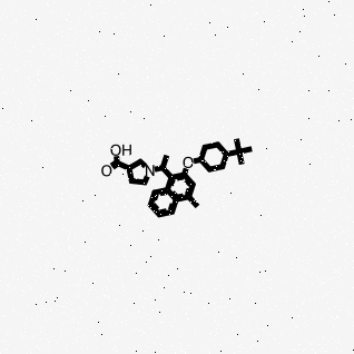 Cc1cc(OC2CCC(C(C)(C)C)CC2)c(C(C)N2CCC(C(=O)O)C2)c2ccccc12